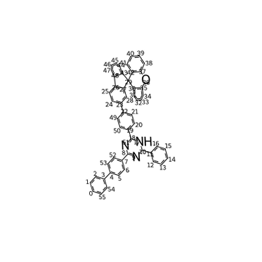 c1ccc(-c2ccc(C3=NC(c4ccccc4)NC(c4ccc(-c5ccc6c(c5)C5(c7ccccc7Oc7ccccc75)c5ccccc5-6)cc4)=N3)cc2)cc1